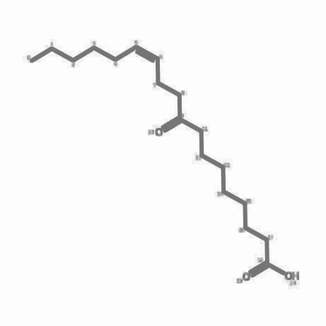 CCCCC/C=C\CCC(=O)CCCCCCCC(=O)O